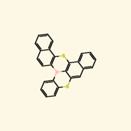 c1ccc2c(c1)Sc1cc3ccccc3c3c1B2c1ccc2ccccc2c1S3